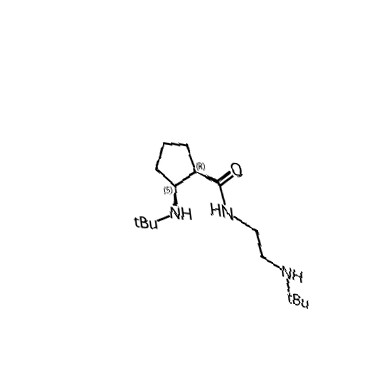 CC(C)(C)NCCNC(=O)[C@@H]1CCC[C@@H]1NC(C)(C)C